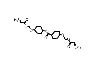 C=CC(=O)OCOC1CCC(OC(=O)C2CCC(OCOC(=O)C=C)CC2)CC1